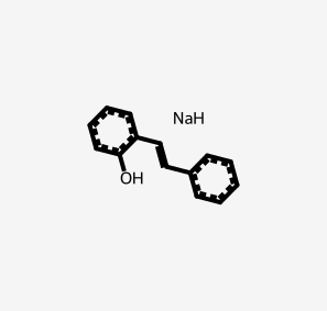 Oc1ccccc1C=Cc1ccccc1.[NaH]